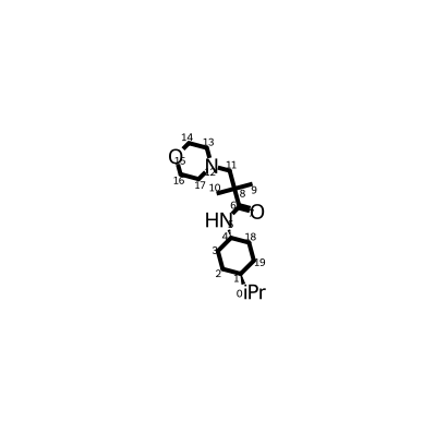 CC(C)[C@H]1CC[C@H](NC(=O)C(C)(C)CN2CCOCC2)CC1